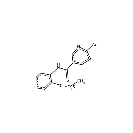 CC(=O)c1ccc(C(=S)Nc2ccccc2Cl)cn1.CS(=O)(=O)O